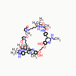 BC12C=Nc3cc(OCCCOc4cc5c(cc4O)/C=C(/c4ccc(NC(=O)[C@H](C)NC(=O)C(NC(=O)CCCCCN6C(=C)C=CC6=O)C(C)C)cc4)CC(NC=C)/C=N\5)c(O)cc3C(=C)N1C=C(c1ccc(NC(=C)C(C)NC(=O)[C@@H](NC(=C)CCCCCN3C(=O)C=CC3=O)C(C)C)cc1)C2